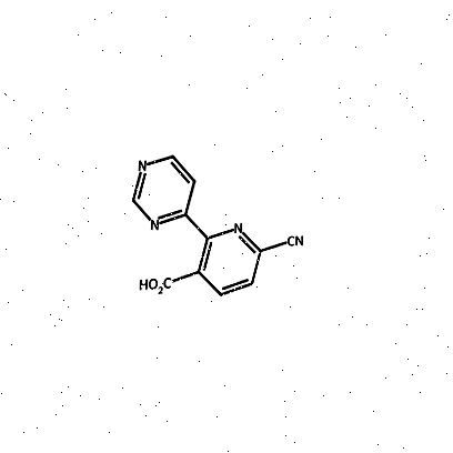 N#Cc1ccc(C(=O)O)c(-c2ccncn2)n1